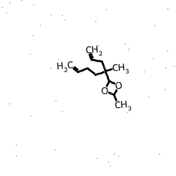 C=CCCC(C)(CC=C)C1OC(C)O1